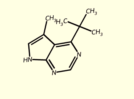 Cc1c[nH]c2ncnc(C(C)(C)C)c12